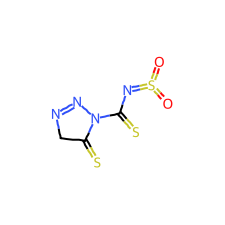 O=S(=O)=NC(=S)N1N=NCC1=S